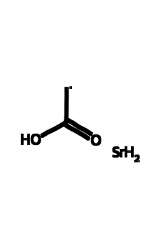 [CH2]C(=O)O.[SrH2]